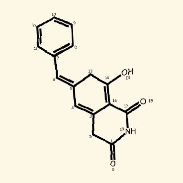 O=C1CC2=CC(=Cc3ccccc3)CC(O)=C2C(=O)N1